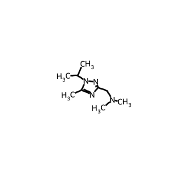 Cc1nc(CN(C)C)nn1C(C)C